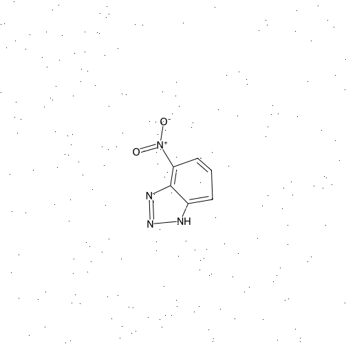 O=[N+]([O-])c1[c]ccc2[nH]nnc12